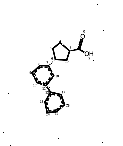 O=C(O)[C@@H]1CC[C@@H](c2cccc(-c3ccccc3)c2)C1